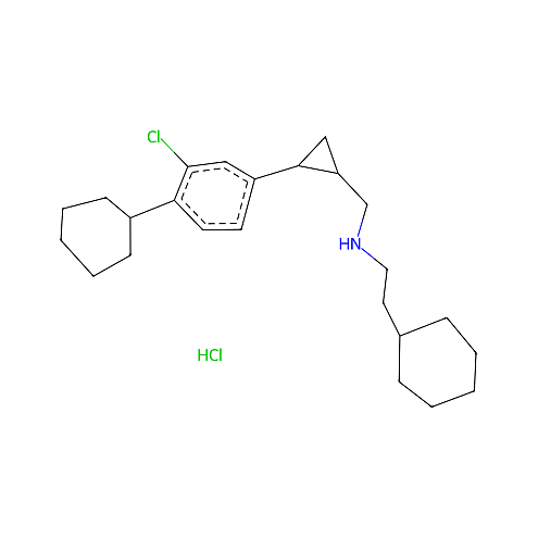 Cl.Clc1cc(C2CC2CNCCC2CCCCC2)ccc1C1CCCCC1